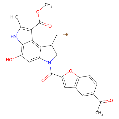 COC(=O)c1c(C)[nH]c2c(O)cc3c(c12)C(CBr)CN3C(=O)c1cc2cc(C(C)=O)ccc2o1